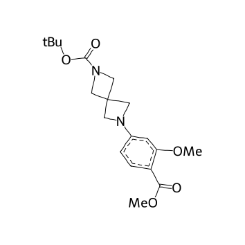 COC(=O)c1ccc(N2CC3(CN(C(=O)OC(C)(C)C)C3)C2)cc1OC